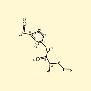 CCCC(C)C(=O)Oc1ccc(C=O)o1